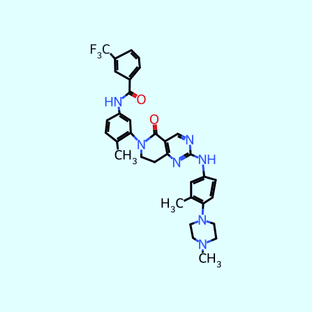 Cc1cc(Nc2ncc3c(n2)CCN(c2cc(NC(=O)c4cccc(C(F)(F)F)c4)ccc2C)C3=O)ccc1N1CCN(C)CC1